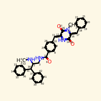 CNC(CNC(=O)c1ccc(C=c2[nH]c(=O)c(=Cc3ccccc3)n(C)c2=O)cc1)C(c1ccccc1)c1ccccc1